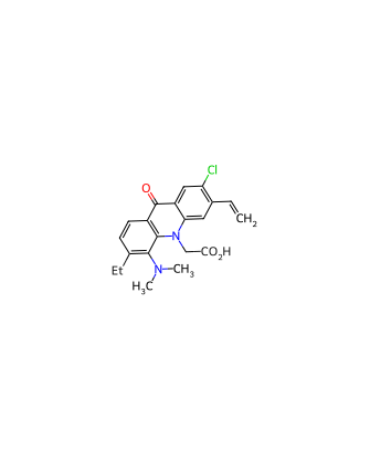 C=Cc1cc2c(cc1Cl)c(=O)c1ccc(CC)c(N(C)C)c1n2CC(=O)O